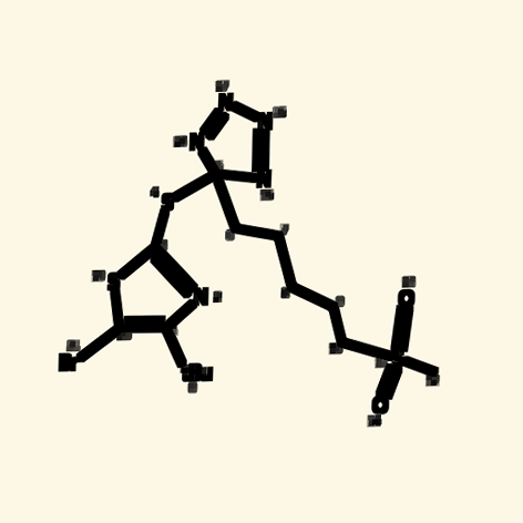 CC(C)(C)c1nc(SC2(CCCCCS(C)(=O)=O)N=NN=N2)sc1Br